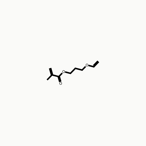 C=COCCCOC(=O)C(=C)C